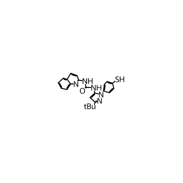 CC(C)(C)c1cc(NC(=O)Nc2ccc3ccccc3n2)n(-c2ccc(S)cc2)n1